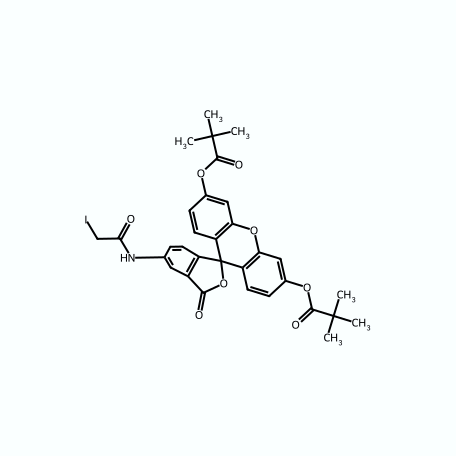 CC(C)(C)C(=O)Oc1ccc2c(c1)Oc1cc(OC(=O)C(C)(C)C)ccc1C21OC(=O)c2cc(NC(=O)CI)ccc21